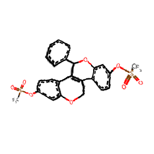 O=S(=O)(Oc1ccc2c(c1)OC(c1ccccc1)C1=C2COc2cc(OS(=O)(=O)C(F)(F)F)ccc21)C(F)(F)F